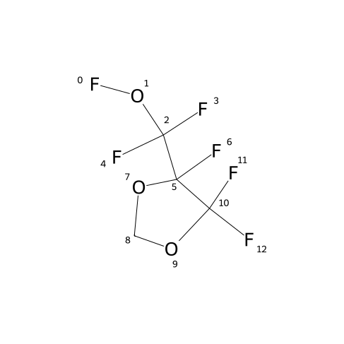 FOC(F)(F)C1(F)OCOC1(F)F